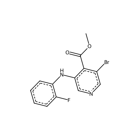 COC(=O)c1c(Br)cncc1Nc1ccccc1F